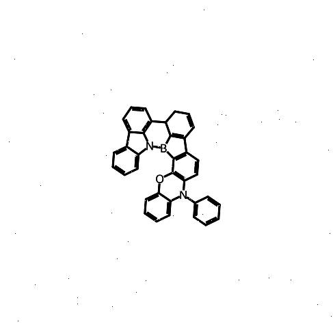 C1=CC2=C3B(c4c2ccc2c4Oc4ccccc4N2c2ccccc2)n2c4ccccc4c4cccc(c42)C3C1